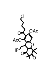 CC(=O)Oc1cc2c(c(OC(C)=O)c1C(=O)CCCCCl)C(CC(C)C)C1=C(O2)C(C)(C)C(=O)C(C)(C)C1=O